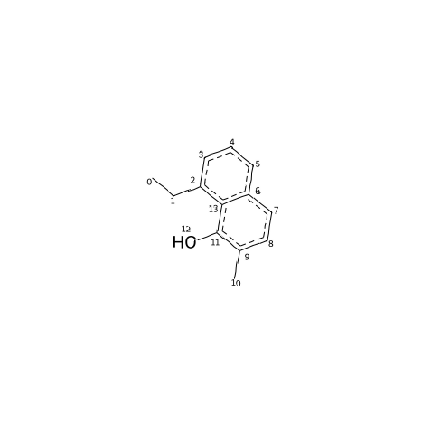 CCc1cccc2ccc(C)c(O)c12